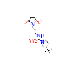 CC(C)(C)C1CCN(C(O)NCCCN2C(=O)C=CC2=O)C1